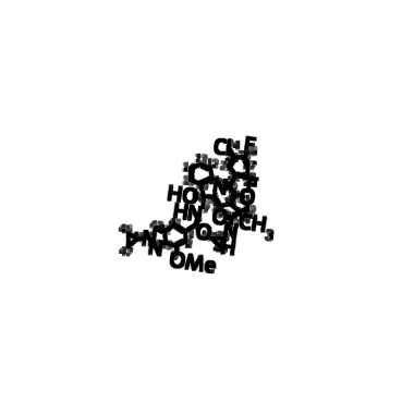 COc1cc(C(=O)NC[C@@](O)(c2ccccc2)c2cc3c(c(-c4cc(Cl)c(F)cc4F)n2)OC[C@]3(C)C(=O)NC2CC2)cc2cn(C3CC3)nc12